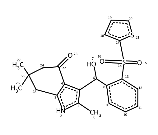 Cc1[nH]c2c(c1C(O)c1ccccc1S(=O)(=O)c1cccs1)C(=O)CC(C)(C)C2